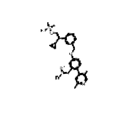 Cc1cc(-c2ccc(OCc3cccc(C(CO[Si](C)(C)C(C)(C)C)C4CC4)c3)cc2CN(C(C)C)C(C)C)c(F)cn1